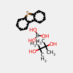 CC(C)(O)C(C)(C)O.OB(O)O.c1ccc2c(c1)sc1ccccc12